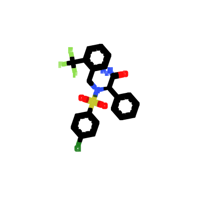 NC(=O)[C@@H](c1ccccc1)N(Cc1ccccc1C(F)(F)F)S(=O)(=O)c1ccc(Cl)cc1